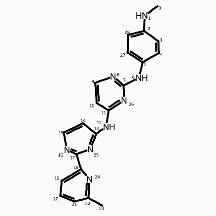 CNc1ccc(Nc2nccc(Nc3ccnc(-c4cccc(C)n4)n3)n2)cc1